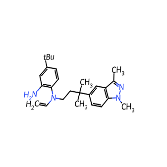 C=CN(CCC(C)(C)c1ccc2c(c1)c(C)nn2C)c1ccc(C(C)(C)C)cc1N